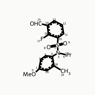 COc1ccc(N(C(C)C)S(=O)(=O)c2cccc(C=O)c2F)c(C)c1